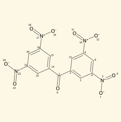 O=C(c1cc([N+](=O)[O-])cc([N+](=O)[O-])c1)c1cc([N+](=O)[O-])cc([N+](=O)[O-])c1